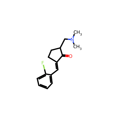 CN(C)CC1CCC(=Cc2ccccc2F)C1=O